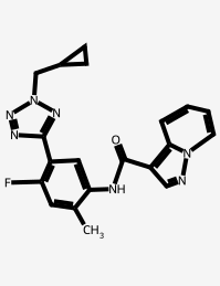 Cc1cc(F)c(-c2nnn(CC3CC3)n2)cc1NC(=O)c1cnn2ccccc12